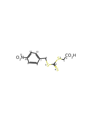 O=C(O)CSC(=S)SCc1ccc([N+](=O)[O-])cc1